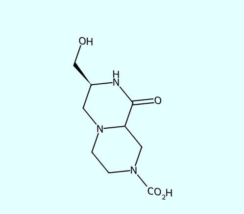 O=C1N[C@H](CO)CN2CCN(C(=O)O)CC12